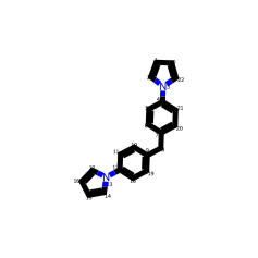 c1ccn(-c2ccc(Cc3ccc(-n4cccc4)cc3)cc2)c1